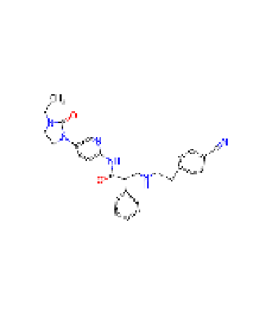 CCN1CCN(c2ccc(NC(=O)C(CNCCc3ccc(C#N)cc3)c3ccccc3)nc2)C1=O